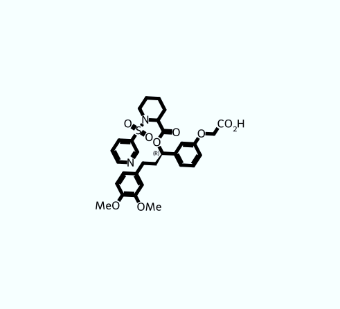 COc1ccc(CC[C@@H](OC(=O)C2CCCCN2S(=O)(=O)c2cccnc2)c2cccc(OCC(=O)O)c2)cc1OC